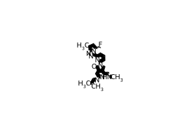 CNCc1nc(N=CC(C)C)cc2c1CN(c1cccc(-c3nnc4n3[C@@H](CF)C[C@H]4C)n1)C2=O